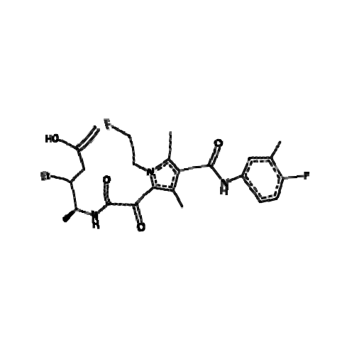 C=C(O)CC(CC)[C@H](C)NC(=O)C(=O)c1c(C)c(C(=O)Nc2ccc(F)c(C)c2)c(C)n1CCF